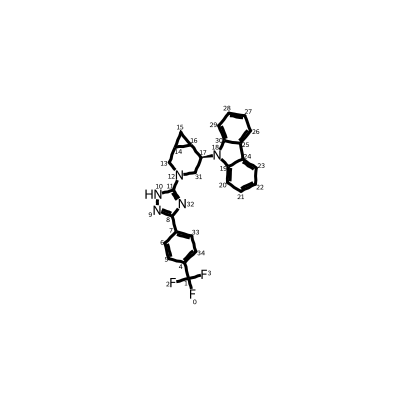 FC(F)(F)c1ccc(-c2n[nH]c(N3CC4CC4[C@@H](n4c5ccccc5c5ccccc54)C3)n2)cc1